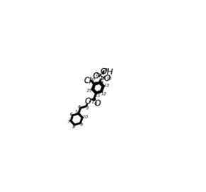 O=C(OCCC1CCCCC1)c1ccc(S(=O)(=O)O)c(Cl)c1